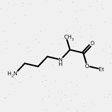 CCOC(=O)C(C)NCCCN